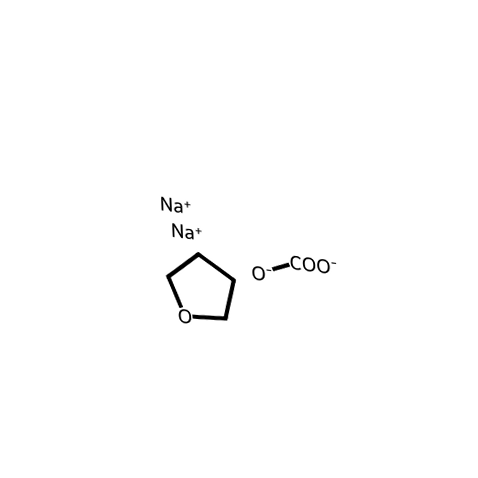 C1CCOC1.O=C([O-])[O-].[Na+].[Na+]